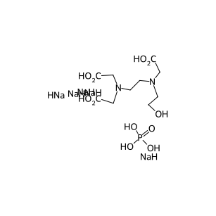 O=C(O)CN(CCO)CCN(CC(=O)O)CC(=O)O.O=P(O)(O)O.[NaH].[NaH].[NaH].[NaH].[NaH]